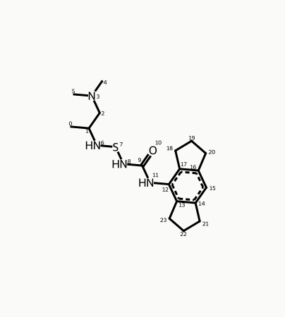 CC(CN(C)C)NSNC(=O)Nc1c2c(cc3c1CCC3)CCC2